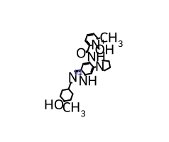 Cc1cccc(C(=O)NC2=C/C(=C/[N+]#CC3CCC(C)(O)CC3)C(=N)C=C2N2CCCC2)[n+]1O